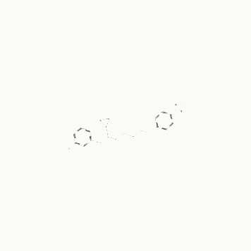 CS(=O)(=O)c1ccc(OCCCNC(Cc2cccc(Cl)c2)C2CC2)cc1